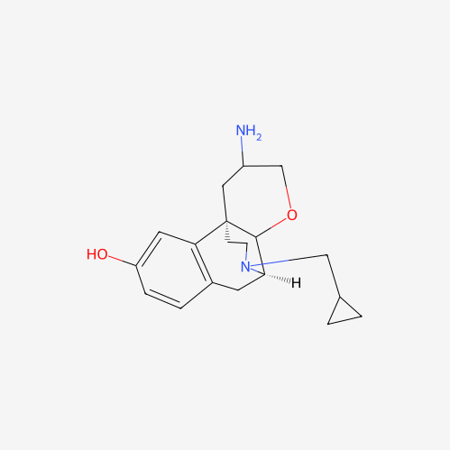 NC1COC2[C@H]3Cc4ccc(O)cc4[C@@]2(CCN3CC2CC2)C1